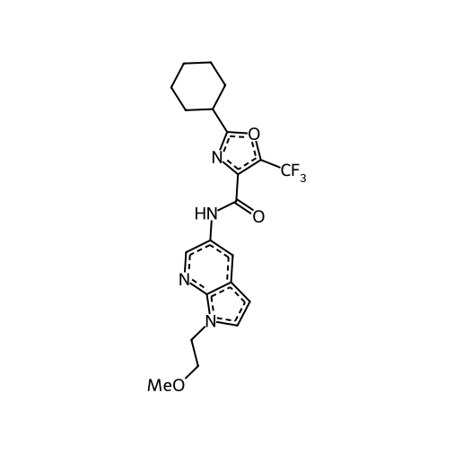 COCCn1ccc2cc(NC(=O)c3nc(C4CCCCC4)oc3C(F)(F)F)cnc21